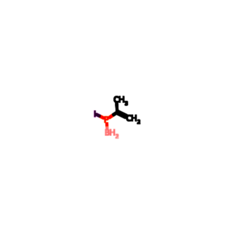 BP(I)C(=C)C